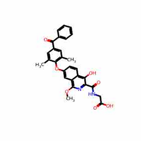 COc1nc(C(=O)NCC(=O)O)c(O)c2ccc(Oc3c(C)cc(C(=O)c4ccccc4)cc3C)cc12